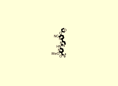 COc1nc(Nc2nccc(-c3ccc(OC4CCOC4)c(C#N)n3)n2)ccc1C(=O)N(C)C